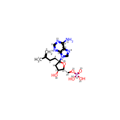 C=C(C)CC[C@]1(n2cnc3c(N)ncnc32)C[C@H](O)[C@@H](COP(=O)(O)O)O1